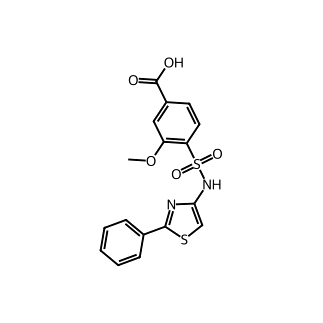 COc1cc(C(=O)O)ccc1S(=O)(=O)Nc1csc(-c2ccccc2)n1